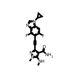 CNc1c(C(N)=O)c(C#Cc2c(F)cc3c(ncn3C3CC3)c2F)nn1C